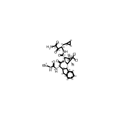 CC(C)(C)NC(=O)N[C@H](C(=O)N1C[C@H]2[C@@H]([C@H]1C(=O)N[C@@H](CC1CC1)C(=O)C(N)=O)C2(Cl)Cl)C1Cc2ccccc2C1